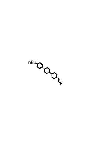 CCCCc1ccc([C@H]2CC[C@H]([C@H]3CC[C@H](C=CF)CC3)CC2)cc1